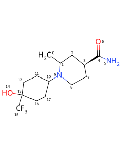 CC1C[C@@H](C(N)=O)CCN1C1CCC(O)(C(F)(F)F)CC1